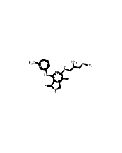 COC[C@H](N)CNc1nc(Nc2cccc(C)c2)c2c(c1F)CNC2=O